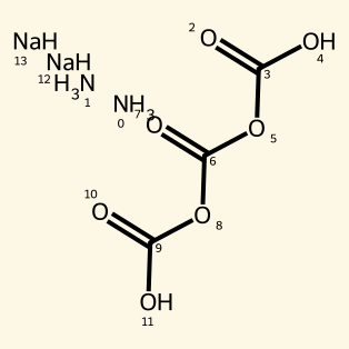 N.N.O=C(O)OC(=O)OC(=O)O.[NaH].[NaH]